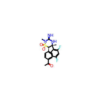 CC(=O)c1ccc([C@@H]2[C@@](C)(c3ccc(F)cc3F)NC(=N)N(C)S2(=O)=O)cc1